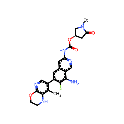 CCN1C[C@H](OC(=O)Nc2cc3cc(-c4cnc5c(c4C)NCCO5)c(F)c(N)c3cn2)CC1=O